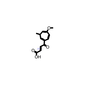 COC1=CC(C)C=C(C(=O)/C=C/C(=O)O)C=C1